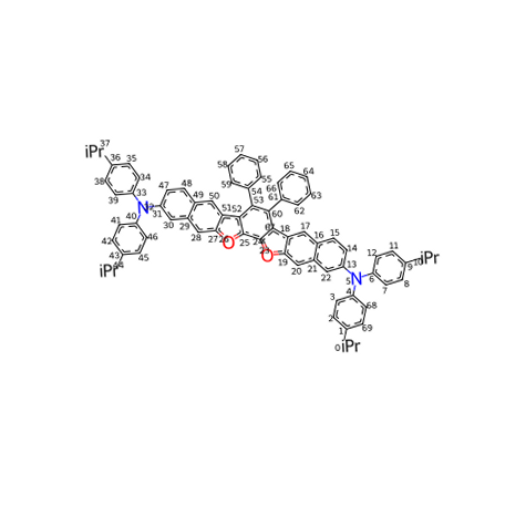 CC(C)c1ccc(N(c2ccc(C(C)C)cc2)c2ccc3cc4c(cc3c2)oc2c3oc5cc6cc(N(c7ccc(C(C)C)cc7)c7ccc(C(C)C)cc7)ccc6cc5c3c(-c3ccccc3)c(-c3ccccc3)c42)cc1